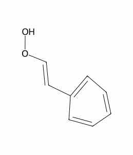 OOC=Cc1ccccc1